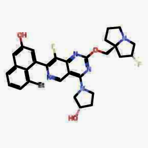 CCc1cccc2cc(O)cc(-c3ncc4c(N5CC[C@H](O)C5)nc(OC[C@@]56CCCN5C[C@H](F)C6)nc4c3F)c12